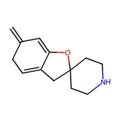 C=C1C=C2OC3(CCNCC3)CC2=CC1